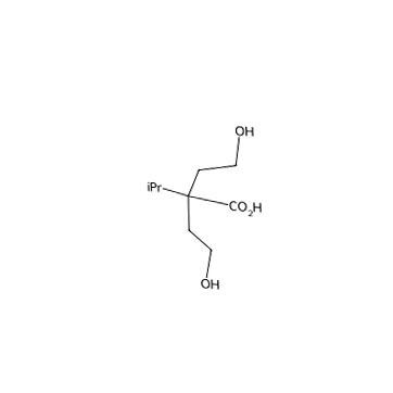 CC(C)C(CCO)(CCO)C(=O)O